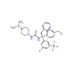 CC(C)N1CCC(NC(=O)N[C@@](Cc2ccccc2)(c2cc(F)cc(C(F)(F)F)c2)c2ccc(CI)cn2)CC1